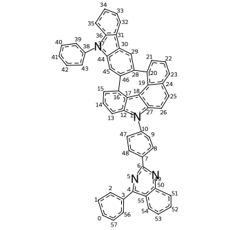 c1ccc(-c2nc(-c3ccc(-n4c5cccc6c5c5c7c(cccc7ccc54)-c4cc5c7ccccc7n(-c7ccccc7)c5cc4-6)cc3)nc3ccccc23)cc1